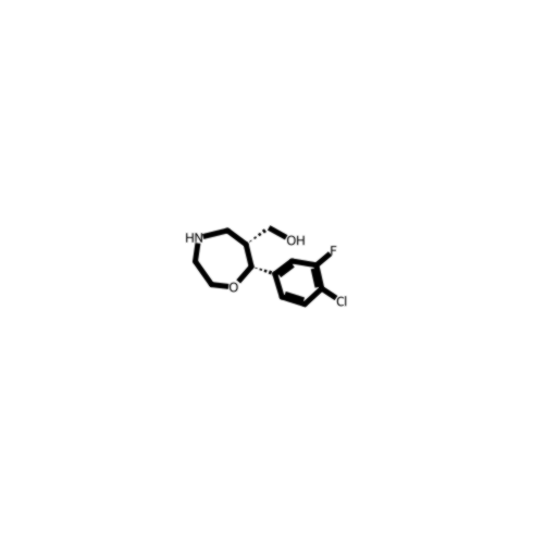 OC[C@H]1CNCCO[C@H]1c1ccc(Cl)c(F)c1